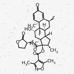 Cc1noc(C)c1C(=O)O[C@]1(C(=O)S[C@H]2CCOC2=O)[C@H](C)C[C@H]2[C@@H]3C[C@H](F)C4=CC(=O)C=C[C@]4(C)[C@@]3(F)[C@@H](O)C[C@@]21C